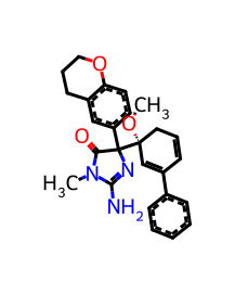 CO[C@@]1(C2(c3ccc4c(c3)CCCO4)N=C(N)N(C)C2=O)C=C(c2ccccc2)C=CC1